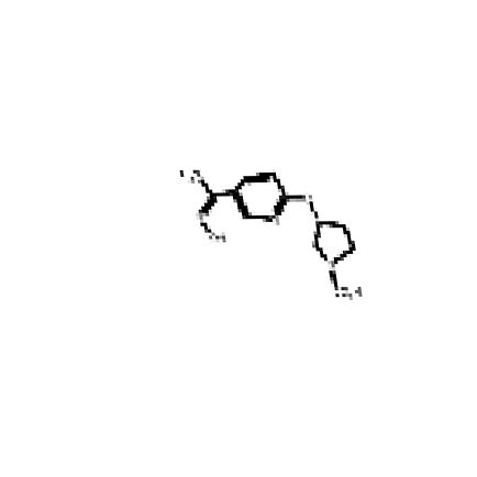 N/C(=N/O)c1ccc(O[C@H]2CCN(C(=O)O)C2)nc1